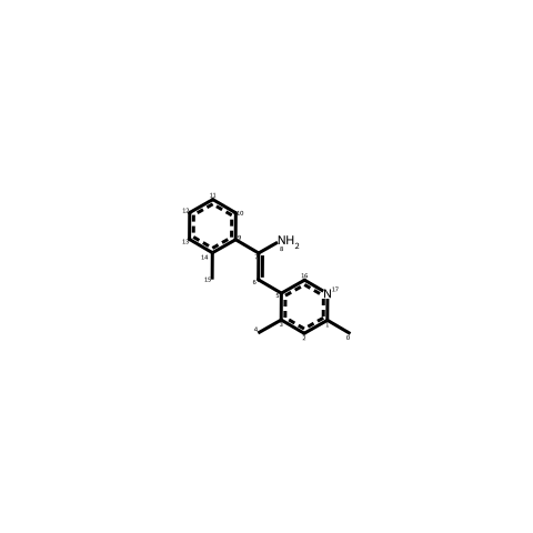 Cc1cc(C)c(/C=C(\N)c2ccccc2C)cn1